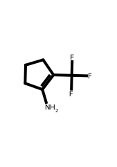 NC1=C(C(F)(F)F)CCC1